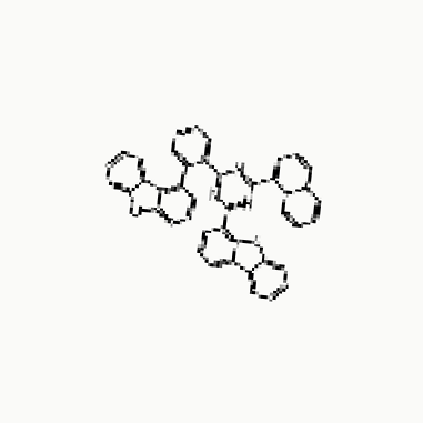 C1=CC2C=CC=C(c3nc(-c4ccccc4-c4cccc5oc6ccccc6c45)nc(-c4cccc5c4sc4ccccc45)n3)C2C=C1